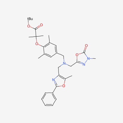 Cc1cc(CN(Cc2nn(C)c(=O)o2)Cc2nc(-c3ccccc3)oc2C)cc(C)c1OC(C)(C)C(=O)OC(C)(C)C